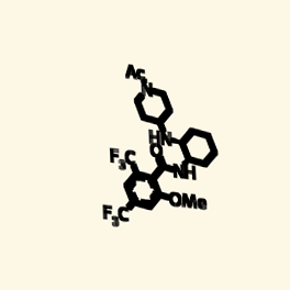 COc1cc(C(F)(F)F)cc(C(F)(F)F)c1C(=O)N[C@@H]1CCCC[C@@H]1NC1CCN(C(C)=O)CC1